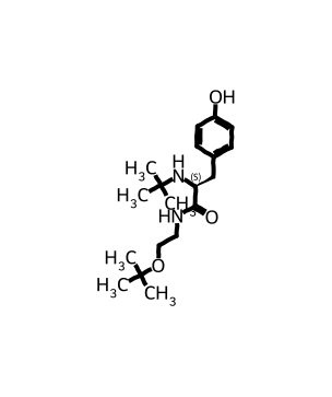 CC(C)(C)N[C@@H](Cc1ccc(O)cc1)C(=O)NCCOC(C)(C)C